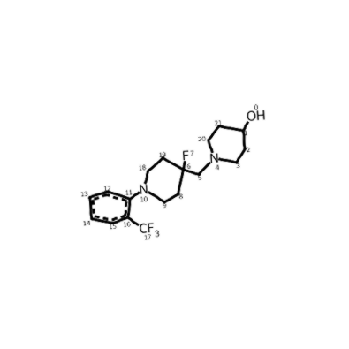 OC1CCN(CC2(F)CCN(c3ccccc3C(F)(F)F)CC2)CC1